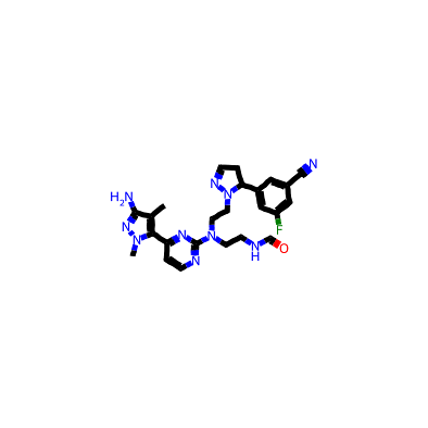 Cc1c(N)nn(C)c1-c1ccnc(N(CCNC=O)CCN2N=CCC2c2cc(F)cc(C#N)c2)n1